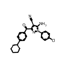 N#Cc1c(C(=O)c2ccc(C3CCCCC3)cc2)nn(-c2ccc(Cl)cc2)c1N